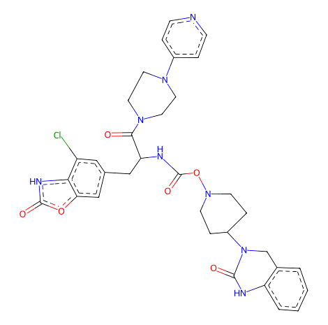 O=C(NC(Cc1cc(Cl)c2[nH]c(=O)oc2c1)C(=O)N1CCN(c2ccncc2)CC1)ON1CCC(N2Cc3ccccc3NC2=O)CC1